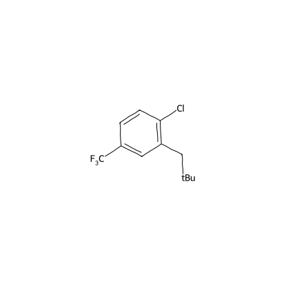 CC(C)(C)Cc1cc(C(F)(F)F)ccc1Cl